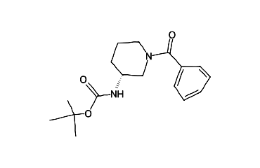 CC(C)(C)OC(=O)N[C@@H]1CCCN(C(=O)c2ccccc2)C1